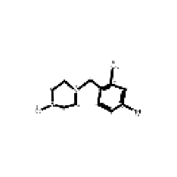 CCN1CCN(Cc2ccc([NH])cc2C(F)(F)F)CC1